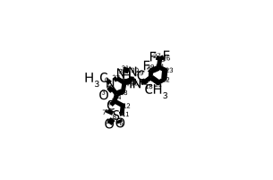 Cn1c(=O)c(C2CCS(=O)(=O)CC2)cc2c(NC(C)(C)c3cccc(C(F)F)c3F)ncnc21